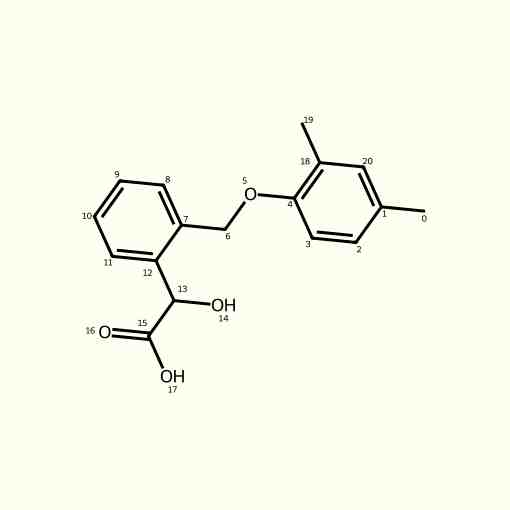 Cc1ccc(OCc2ccccc2C(O)C(=O)O)c(C)c1